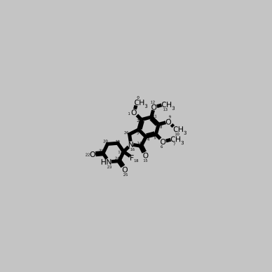 COc1c2c(c(OC)c(OC)c1OC)C(=O)N(C1(F)CCC(=O)NC1=O)C2